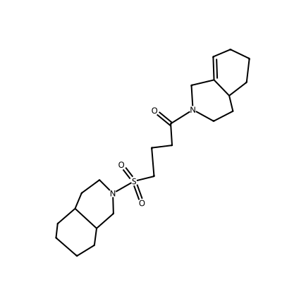 O=C(CCCS(=O)(=O)N1CCC2CCCCC2C1)N1CCC2CCCC=C2C1